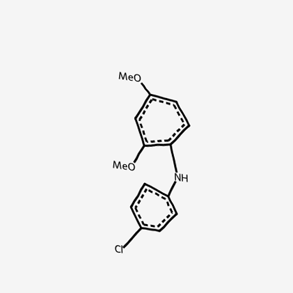 COc1ccc(Nc2ccc(Cl)cc2)c(OC)c1